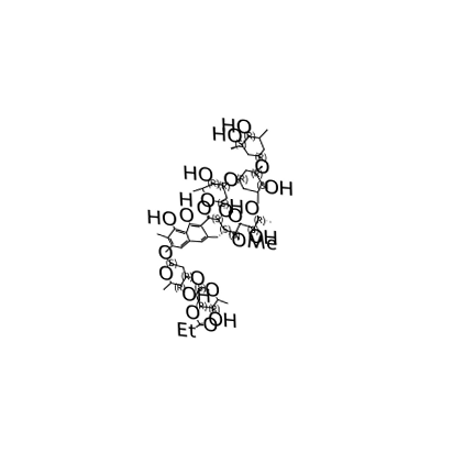 CCC(=O)O[C@@H]1C[C@H](O[C@@H]2C[C@H](Oc3cc4cc5c(c(O)c4c(O)c3C)C(=O)[C@@H](O[C@H]3C[C@@H](O[C@@H]4CC(C)[C@H](O)[C@H](O[C@@H]6CC(C)[C@@H](O)[C@@](C)(O)C6)C4)[C@H](O)C(C)O3)[C@H]([C@H](OC)C(=O)[C@@H](O)[C@@H](C)O)C5)OC(C)[C@H]2O)OC(C)[C@H]1O